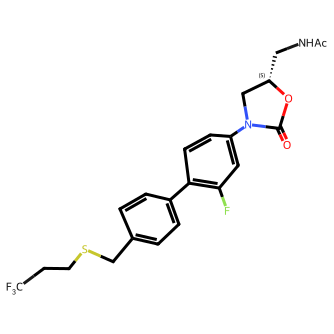 CC(=O)NC[C@H]1CN(c2ccc(-c3ccc(CSCCC(F)(F)F)cc3)c(F)c2)C(=O)O1